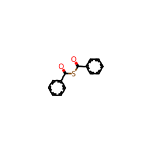 O=C(SC(=O)c1ccccc1)c1ccccc1